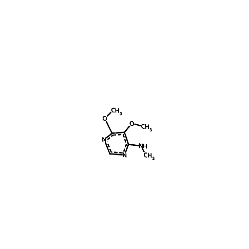 CNc1ncnc(OC)c1OC